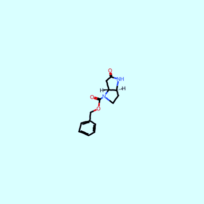 O=C1C[C@@H]2[C@H](CCN2C(=O)OCc2ccccc2)N1